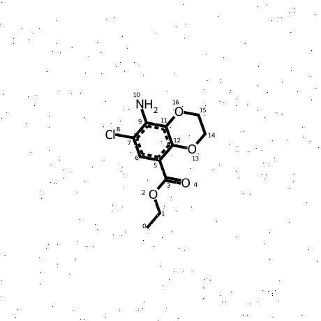 CCOC(=O)c1cc(Cl)c(N)c2c1OCCO2